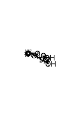 O=C(O)CC(SCCC(=O)OCc1ccccc1)C(=O)O